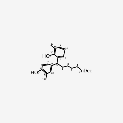 CCCCCCCCCCCCCCC(c1ccc(O)c(C)c1)c1cccc(C)c1O